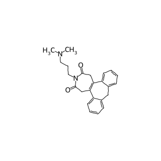 CN(C)CCCN1C(=O)CC2=C(CC1=O)c1ccccc1Cc1ccccc12